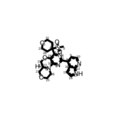 CS(=O)(=O)C1(c2nc(-c3ccnc4[nH]ccc34)nc3c2OC[C@@H]2COCCN32)CCOCC1